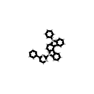 c1ccc(-c2ccnc(-n3c4ccccc4c4c5c6ccccc6n(-c6ccccc6)c5ccc43)n2)cc1